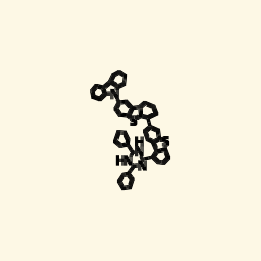 c1ccc(C2=NC(c3cccc4sc5cc(-c6cccc7c6sc6ccc(-n8c9ccccc9c9ccccc98)cc67)ccc5c34)NC(c3ccccc3)N2)cc1